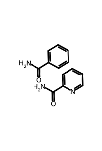 NC(=O)c1ccccc1.NC(=O)c1ccccn1